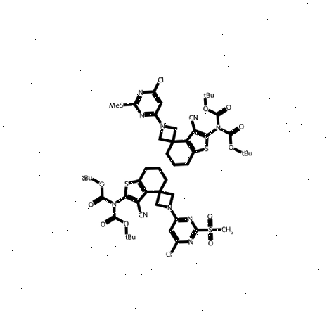 CC(C)(C)OC(=O)N(C(=O)OC(C)(C)C)c1sc2c(c1C#N)C1(CCC2)CN(c2cc(Cl)nc(S(C)(=O)=O)n2)C1.CSc1nc(Cl)cc(N2CC3(CCCc4sc(N(C(=O)OC(C)(C)C)C(=O)OC(C)(C)C)c(C#N)c43)C2)n1